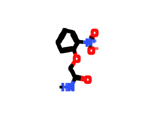 [NH]C(=O)COc1ccccc1[N+](=O)[O-]